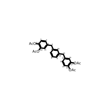 CC(=O)Oc1ccc(Cc2cccc(Cc3ccc(OC(C)=O)c(OC(C)=O)c3)c2)cc1OC(C)=O